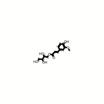 COc1cc(C=CC(=O)OCC(O)C(O)CO)ccc1O